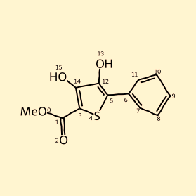 COC(=O)c1sc(-c2ccccc2)c(O)c1O